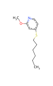 CCCCCCSc1[c]c(OC)ncc1